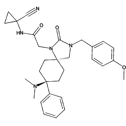 COc1ccc(CN2C[C@]3(CC[C@](c4ccccc4)(N(C)C)CC3)N(CC(=O)NC3(C#N)CC3)C2=O)cc1